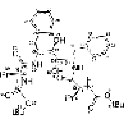 CC(C)[C@H](NC(=O)OC(C)(C)C)C(=O)N[C@@H](Cc1ccccc1)[C@H](O)[C@H](O)[C@H](Cc1ccccc1)NC(=O)[C@@H](NC(=O)OC(C)(C)C)C(C)C